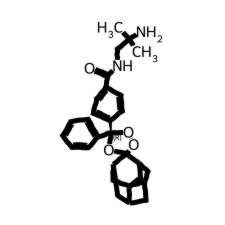 CC(C)(N)CNC(=O)c1ccc([C@@]2(c3ccccc3)OOC3(O2)C2CC4CC5CC3CC45C2)cc1